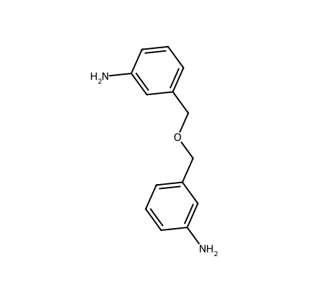 Nc1cccc(COCc2cccc(N)c2)c1